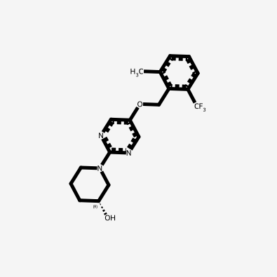 Cc1cccc(C(F)(F)F)c1COc1cnc(N2CCC[C@@H](O)C2)nc1